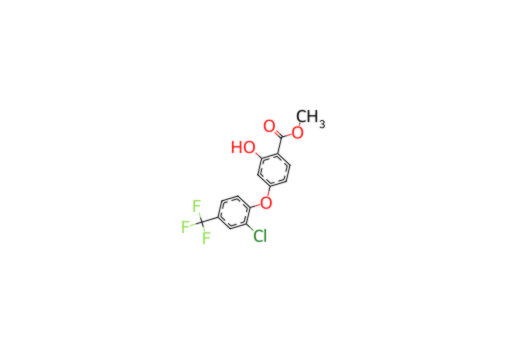 COC(=O)c1ccc(Oc2ccc(C(F)(F)F)cc2Cl)cc1O